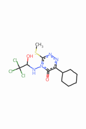 CSc1nnc(C2CCCCC2)c(=O)n1NC(O)C(Cl)(Cl)Cl